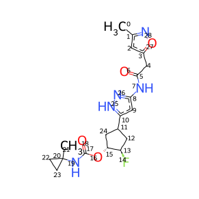 Cc1cc(CC(=O)Nc2cc(C3C[C@@H](F)[C@H](OC(=O)NC4(C)CC4)C3)[nH]n2)on1